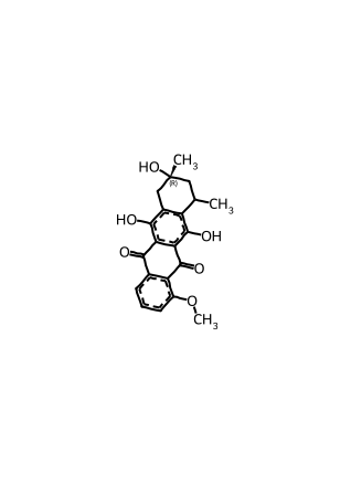 COc1cccc2c1C(=O)c1c(O)c3c(c(O)c1C2=O)C[C@](C)(O)CC3C